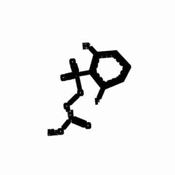 CCc1cccc(F)c1S(=O)(=O)OO[PH](=O)OC